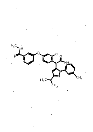 CNC(=O)c1cc(Oc2ccc(N(C(N)=O)c3cc(C(C)C)nn3-c3cccc(C)c3)c(Cl)c2)ccn1